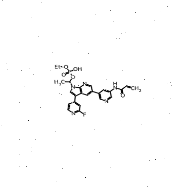 C=CC(=O)Nc1cncc(-c2cnc3c(c2)c(-c2ccnc(F)c2)cn3C(C)OP(=O)(O)OCC)c1